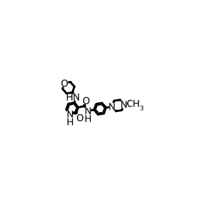 CN1CCN(c2ccc(NC(=O)c3c(NC4CCOCC4)cc[nH]c3=O)cc2)CC1